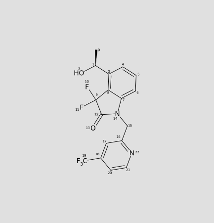 C[C@H](O)c1cccc2c1C(F)(F)C(=O)N2Cc1cc(C(F)(F)F)ccn1